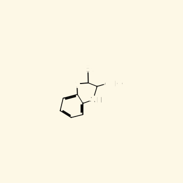 CCC1Sc2ccccc2NC1C=O